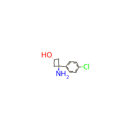 N[C@]1(c2ccc(Cl)cc2)C[C@@H](O)C1